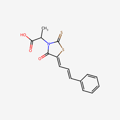 CC(C(=O)O)N1C(=O)/C(=C/C=C/c2ccccc2)SC1=S